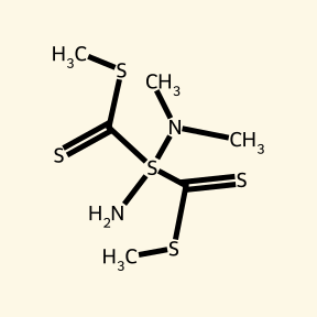 CSC(=S)S(N)(C(=S)SC)N(C)C